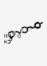 Cc1ccc(/C=C/C2CCN(C(=O)CN3CCN[C@@H](CO)C3)CC2)cc1